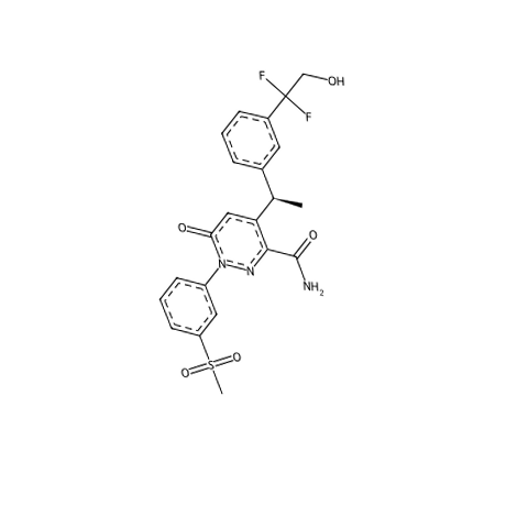 C[C@H](c1cccc(C(F)(F)CO)c1)c1cc(=O)n(-c2cccc(S(C)(=O)=O)c2)nc1C(N)=O